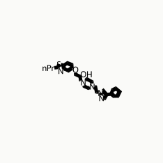 CCCc1nc2cc(OC[C@@H](O)CN3CCN(CCn4cc(-c5ccccc5)cn4)CC3)ccc2s1